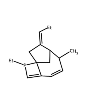 CC/C=C1/CC23CC1C(C)C=CC2=CP3CC